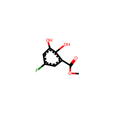 COC(=O)c1cc(F)cc(O)c1O